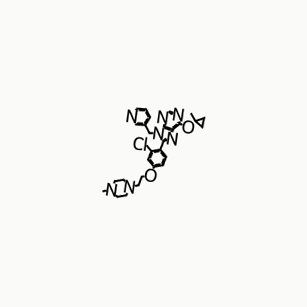 CN1CCN(CCOc2ccc(-c3nc4c(OC5(C)CC5)ncnc4n3Cc3cccnc3)c(Cl)c2)CC1